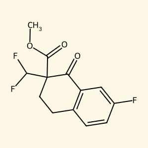 COC(=O)C1(C(F)F)CCc2ccc(F)cc2C1=O